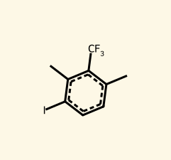 Cc1ccc(I)c(C)c1C(F)(F)F